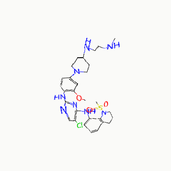 CNCCNC1CCN(c2ccc(Nc3ncc(Cl)c(Nc4cccc5c4N(S(C)(=O)=O)CCC5)n3)c(OC)c2)CC1